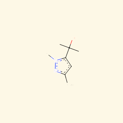 CC(C)n1nc(C(C)(C)C)cc1C(C)(C)O